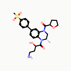 C[C@H]1CN(C(=O)C2CCCO2)c2cc(-c3ccc(S(C)(=O)=O)cc3)ccc2N1C(=O)C(O)CCN